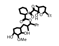 CCC1CCC(C)C(O)(C(=O)C(=O)N2CCCCC2C(=O)OC(C(C)C)C(C)CC2CCC(O)C(OC)C2O)O1